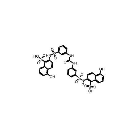 O=C(Nc1cccc(S(=O)(=O)Nc2ccc3c(O)cccc3c2S(=O)(=O)O)c1)Nc1cccc(S(=O)(=O)Nc2ccc3c(O)cccc3c2S(=O)(=O)O)c1